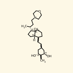 C=C1[C@H](O)CC(=CC=C2CCC[C@]3(C)[C@@H](C(C)CCN4CCOCC4)CC[C@@H]23)C[C@H]1O